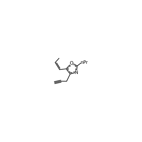 C#CCc1nc(CCC)oc1/C=C\C